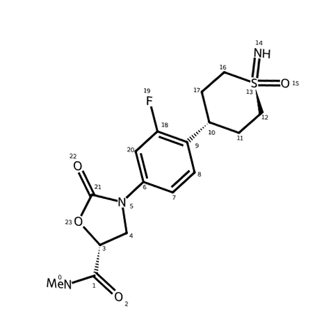 CNC(=O)[C@H]1CN(c2ccc([C@H]3CC[S@@](=N)(=O)CC3)c(F)c2)C(=O)O1